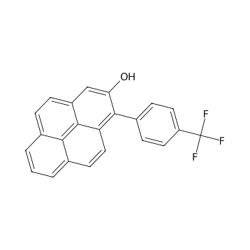 Oc1cc2ccc3cccc4ccc(c1-c1ccc(C(F)(F)F)cc1)c2c34